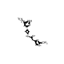 Cc1nc(CC(=O)N[C@H]2C[C@@H](c3cc(N)[nH]n3)C2)cs1